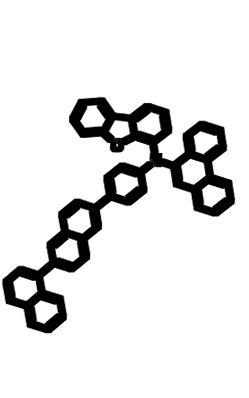 c1ccc2c(-c3ccc4cc(-c5ccc(N(c6cc7ccccc7c7ccccc67)c6cccc7c6oc6ccccc67)cc5)ccc4c3)cccc2c1